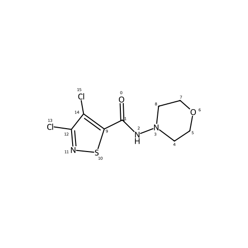 O=C(NN1CCOCC1)c1snc(Cl)c1Cl